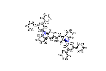 c1ccc(-c2cc(-c3ccccc3)cc(-n3c4ccccc4c4cc(-c5ccc6c(c5)c5ccccc5n6-c5cc(-c6ccccc6)cc(-c6ccccc6)c5)ccc43)c2)cc1